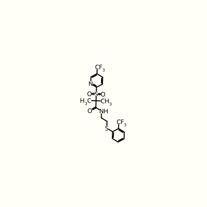 CC(C)(C(=O)NCCSc1ccccc1C(F)(F)F)S(=O)(=O)c1ccc(C(F)(F)F)cn1